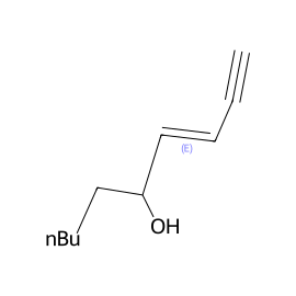 C#C/C=C/C(O)CCCCC